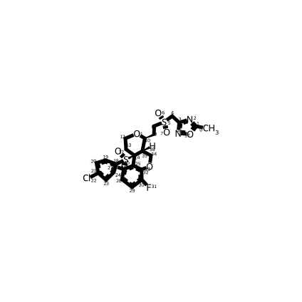 Cc1nc(CS(=O)(=O)CC[C@@H]2OCC[C@@]3(S(=O)(=O)c4ccc(Cl)cc4)c4c(F)ccc(F)c4OC[C@@H]23)no1